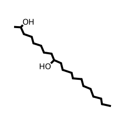 CCCCCCCCCCCC(O)CCCCCCC(C)O